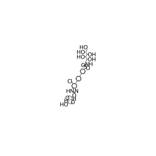 O=S(=O)(NC[C@H](O)[C@@H](O)[C@H](O)[C@H](O)CO)c1ccc(-c2ccc(-c3cc4nc(O[C@@H]5CO[C@H]6[C@@H]5OC[C@H]6O)[nH]c4cc3Cl)cc2)cc1